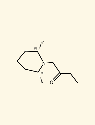 CCC(=O)CN1[C@H](C)CCC[C@@H]1C